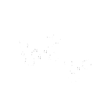 c1ccc(-n2c3ccccc3c3cc(-c4ccc5c(c4)c4c6ccccc6ccc4n5-c4nc5c6c(cccc6n4)Oc4ccccc4-5)ccc32)cc1